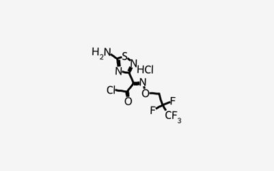 Cl.Nc1nc(/C(=N/OCC(F)(F)C(F)(F)F)C(=O)Cl)ns1